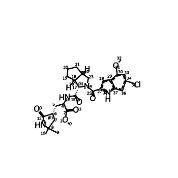 COC(=O)C(C[C@@H]1CC(C)(C)NC1=O)NC(=O)[C@@H]1[C@H]2CCC[C@H]2CN1C(=O)c1cc2c(OC)cc(Cl)cc2[nH]1